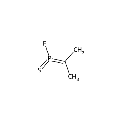 CC(C)=P(F)=S